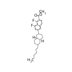 CCCCCCC1CC[C@@H]2CC(c3cc(F)c4c(F)c(C(=O)OC)ccc4c3)CC[C@H]2C1